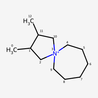 CC1C[N+]2(CCCCCC2)CC1C